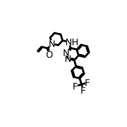 C=CC(=O)N1CCCC(Nc2nnc(-c3ccc(C(F)(F)F)cc3)c3ccccc23)C1